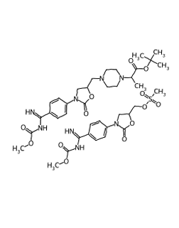 COC(=O)NC(=N)c1ccc(N2CC(CN3CCN(C(C)C(=O)OC(C)(C)C)CC3)OC2=O)cc1.COC(=O)NC(=N)c1ccc(N2CC(COS(C)(=O)=O)OC2=O)cc1